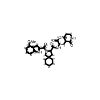 COC(=O)[C@H](CC1CCCNC1=O)NC(=O)C1CC2(CCCCC2)CN1C(=O)c1cc2c(OC)cccc2[nH]1